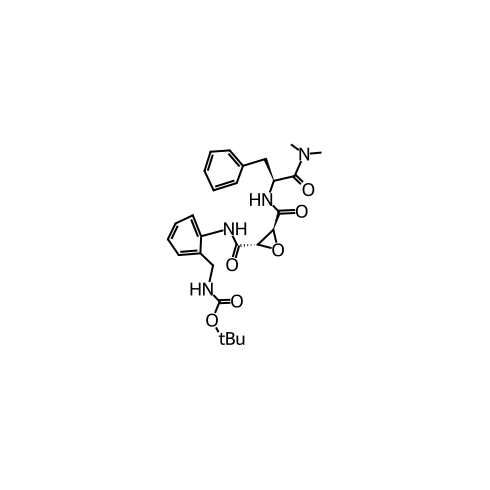 CN(C)C(=O)[C@H](Cc1ccccc1)NC(=O)[C@H]1O[C@@H]1C(=O)Nc1ccccc1CNC(=O)OC(C)(C)C